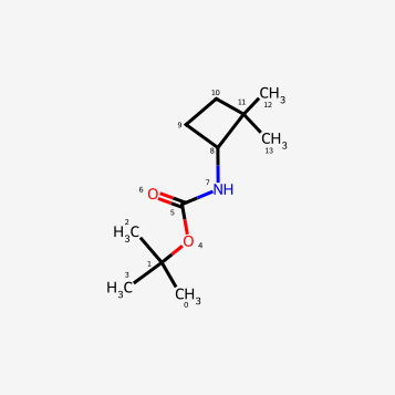 CC(C)(C)OC(=O)NC1CCC1(C)C